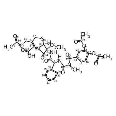 CO[C@@]1(NC(=O)C(NC(=O)N(C)C(=O)c2ccc(OC(C)=O)c(OC(C)=O)c2)c2ccccc2)C(=O)N2C(C(=O)O)=C(COC(C)=O)CS[C@H]21